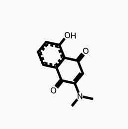 CN(C)C1=CC(=O)c2c(O)cccc2C1=O